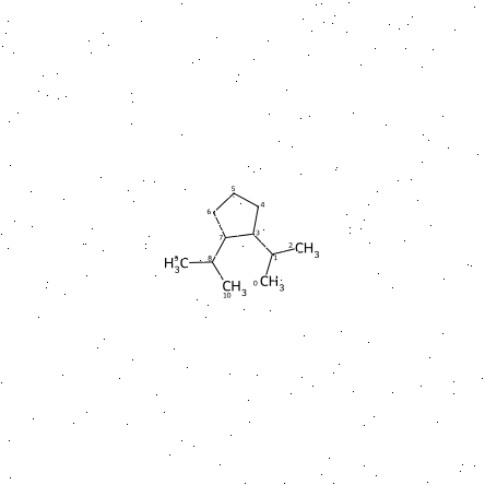 CC(C)C1C[CH]CC1C(C)C